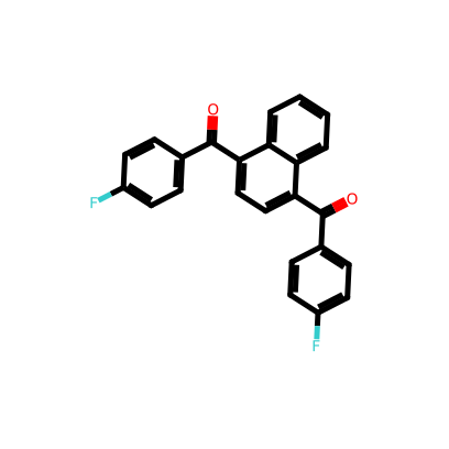 O=C(c1ccc(F)cc1)c1ccc(C(=O)c2ccc(F)cc2)c2ccccc12